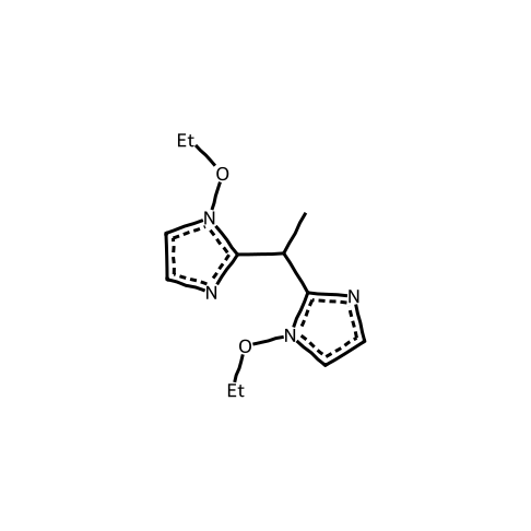 CCOn1ccnc1C(C)c1nccn1OCC